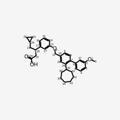 COc1cccc(-c2ccc(COc3cccc([C@@H](CC(=O)O)CC4CC4)c3)cc2C2CCCCCC2)c1